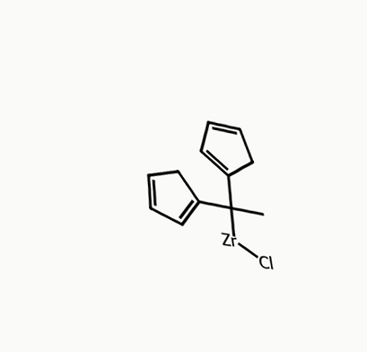 C[C]([Zr][Cl])(C1=CC=CC1)C1=CC=CC1